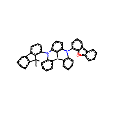 CC1(C)c2ccccc2-c2cccc(N3c4ccccc4B4c5ccccc5N(c5cccc6c5oc5ccccc56)c5cccc3c54)c21